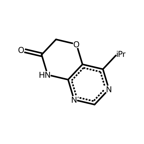 CC(C)c1ncnc2c1OCC(=O)N2